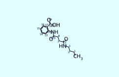 CCCCNC(=O)CCC(=O)Nc1ccccc1C(=O)O